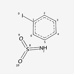 Ic1ccccc1.N=S(=O)=O